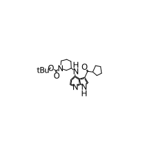 CC(C)(C)OC(=O)N1CCC[C@@H](Nc2ccnc3[nH]cc(C(=O)C4CCCC4)c23)C1